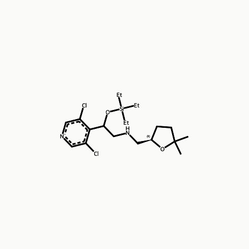 CC[Si](CC)(CC)OC(CNC[C@H]1CCC(C)(C)O1)c1c(Cl)cncc1Cl